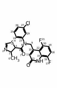 CC1N=CSC1C(=O)N(Cc1cc(=O)[nH]c2c(F)ccc(F)c12)c1cccc(Cl)c1